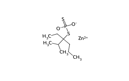 CCCC(CC)(SP([O-])([O-])=S)C(C)C.[Zn+2]